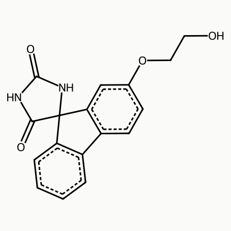 O=C1NC(=O)C2(N1)c1ccccc1-c1ccc(OCCO)cc12